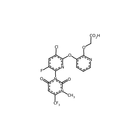 Cn1c(C(F)(F)F)cc(=O)n(-c2nc(Oc3cccnc3OCC(=O)O)c(Cl)cc2F)c1=O